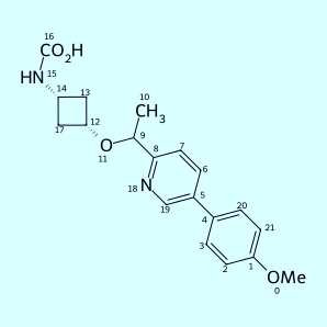 COc1ccc(-c2ccc(C(C)O[C@H]3C[C@@H](NC(=O)O)C3)nc2)cc1